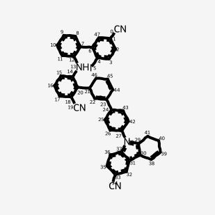 N#Cc1ccc(I)c(-c2ccccc2Nc2cccc(C#N)c2C2C=C(c3ccc(-n4c5c(c6cc(C#N)ccc64)C=CCC5)cc3)C=CC2)c1